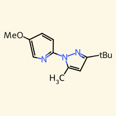 COc1ccc(-n2nc(C(C)(C)C)cc2C)nc1